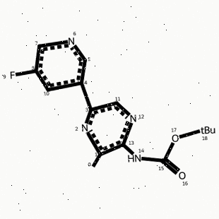 Cc1nc(-c2cncc(F)c2)cnc1NC(=O)OC(C)(C)C